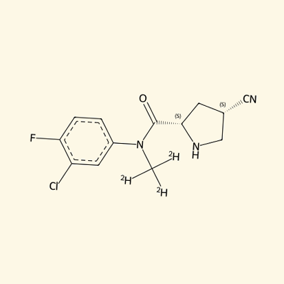 [2H]C([2H])([2H])N(C(=O)[C@@H]1C[C@H](C#N)CN1)c1ccc(F)c(Cl)c1